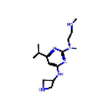 CNCCN(C)c1nc(NC2CNC2)cc(C(C)C)n1